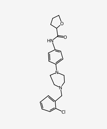 O=C(Nc1ccc(N2CCN(Cc3ccccc3Cl)CC2)cc1)C1CCCO1